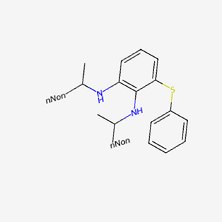 CCCCCCCCCC(C)Nc1cccc(Sc2ccccc2)c1NC(C)CCCCCCCCC